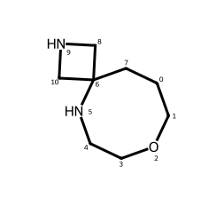 C1COCCNC2(C1)CNC2